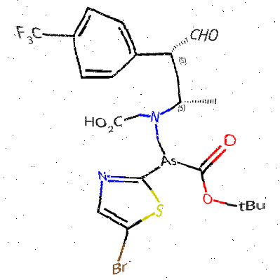 C[C@@H]([C@@H](C=O)c1ccc(C(F)(F)F)cc1)N(C(=O)O)[As](C(=O)OC(C)(C)C)c1ncc(Br)s1